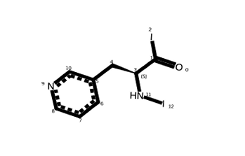 O=C(I)[C@H](Cc1cccnc1)NI